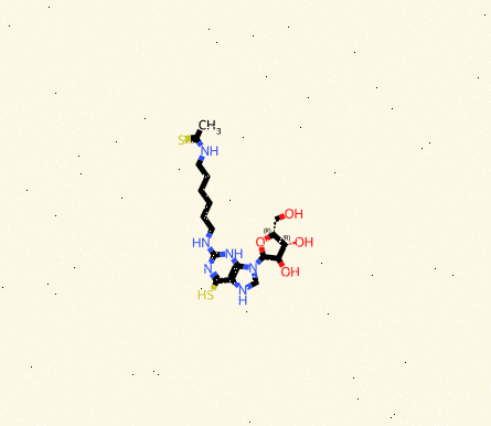 CC(=S)NCCCCCCNC1N=C(S)C2=C(N1)N(C1O[C@H](CO)[C@H](O)C1O)CN2